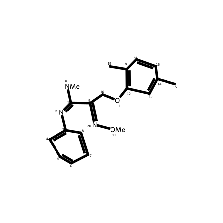 CN/C(=N/c1ccccc1)C(COc1cc(C)ccc1C)=NOC